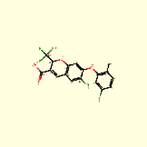 Cc1ccc(F)cc1Oc1cc2c(cc1Cl)C=C(C(=O)O)C(C(F)(F)F)O2